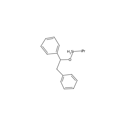 CC(C)[SiH2]OC(Cc1ccccc1)c1ccccc1